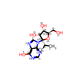 CC(C)[C@@]1(n2cnc3c(O)ncnc32)O[C@H](CO)[C@@H](O)[C@H]1O